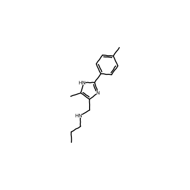 CCCNCc1nc(-c2ccc(C)cc2)[nH]c1C